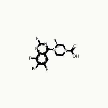 C[C@H]1CN(C(=O)O)CCN1c1nc(F)nc2c(F)c(Br)c(F)cc12